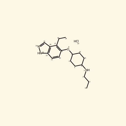 CCCNC1CCC(Oc2ccc3[nH]ncc3c2CC)CC1.Cl